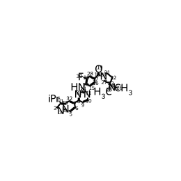 CC(C)c1cnn2ccc(-c3ccnc(Nc4ccc(C(=O)N5CCC(N(C)C)C5)cc4F)n3)cc12